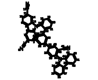 N#Cc1ccc2c(c1)c1ccc(C#N)cc1n2-c1ccccc1-c1cccc(-c2ccc(-n3c4ccccc4c4ccccc43)c(C#N)c2)c1